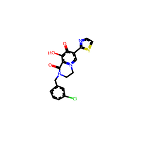 O=C1c2c(O)c(=O)c(-c3nccs3)cn2CCN1Cc1cccc(Cl)c1